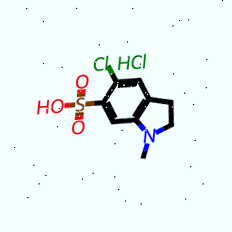 CN1CCc2cc(Cl)c(S(=O)(=O)O)cc21.Cl